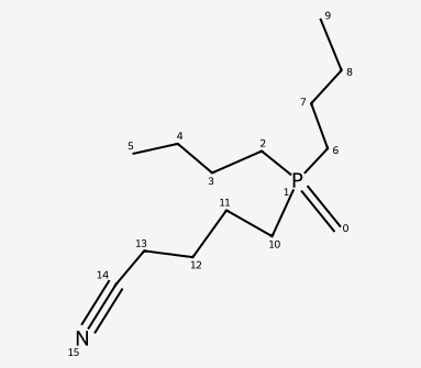 C=P(CCCC)(CCCC)CCCCC#N